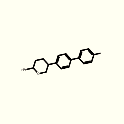 CCCC1CCC(c2ccc(-c3ccc(F)cc3)cc2)CO1